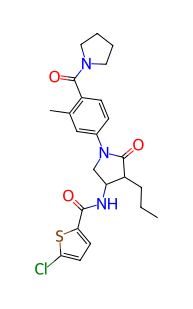 CCCC1C(=O)N(c2ccc(C(=O)N3CCCC3)c(C)c2)CC1NC(=O)c1ccc(Cl)s1